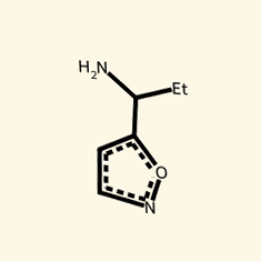 CCC(N)c1ccno1